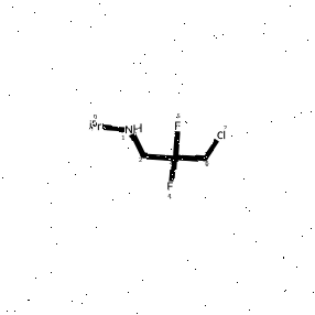 CC(C)NCC(F)(F)CCl